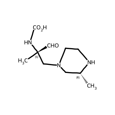 C[C@@H]1CN(C[C@@](C)(C=O)NC(=O)O)CCN1